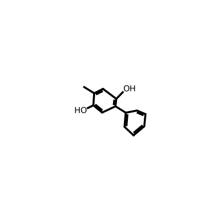 Cc1cc(O)c(-c2ccccc2)cc1O